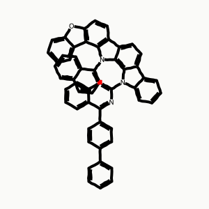 c1ccc(-c2ccc(-c3nc(-n4c5ccccc5c5ccc6c7ccc8oc9ccccc9c8c7n(-c7cccc8ccccc78)c6c54)nc4ccccc34)cc2)cc1